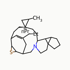 CCCC(CC)C1=CC2CC[C@@]3(CCC4C5C6CCCC65CCN4CC(C1)C1SC21)CC3C